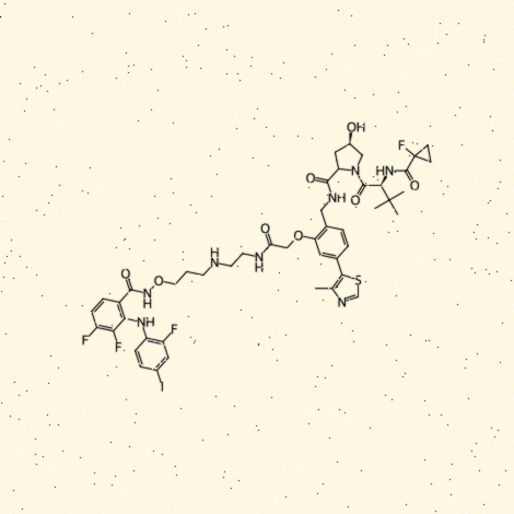 Cc1ncsc1-c1ccc(CNC(=O)C2C[C@@H](O)CN2C(=O)[C@@H](NC(=O)C2(F)CC2)C(C)(C)C)c(OCC(=O)NCCNCCCONC(=O)c2ccc(F)c(F)c2Nc2ccc(I)cc2F)c1